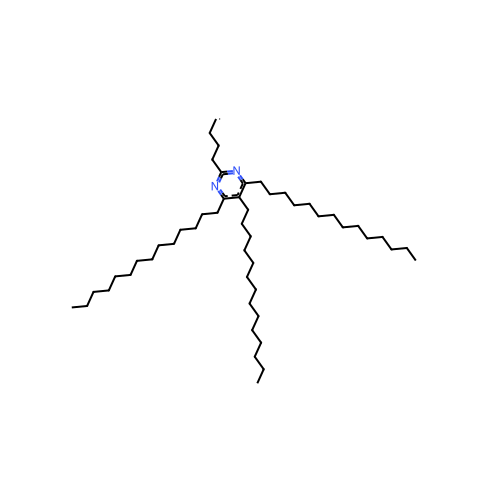 [CH2]CCCc1nc(CCCCCCCCCCCCCC)c(CCCCCCCCCCCCCC)c(CCCCCCCCCCCCCC)n1